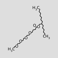 CCCCCCCCC(CCCCCC)COC(=O)CCCOCCOCCOCCOCC